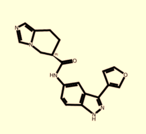 O=C(Nc1ccc2[nH]nc(-c3ccoc3)c2c1)[C@@H]1CCc2cncn2C1